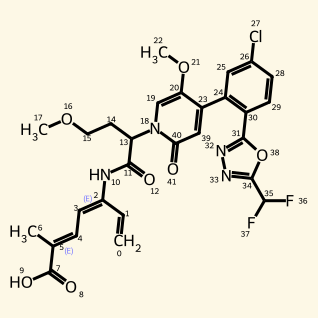 C=C/C(=C\C=C(/C)C(=O)O)NC(=O)C(CCOC)n1cc(OC)c(-c2cc(Cl)ccc2-c2nnc(C(F)F)o2)cc1=O